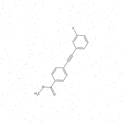 COC(=O)c1ccc(C#Cc2cccc(F)c2)cc1